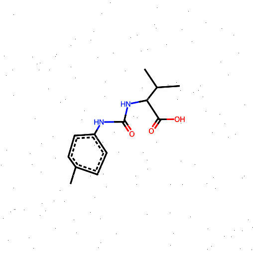 Cc1ccc(NC(=O)NC(C(=O)O)C(C)C)cc1